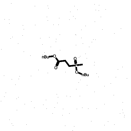 CCCCOC(=O)CCP(C)(=O)OCCCC